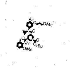 COCCCOc1cc(N(C(=O)[C@@H]2C[C@H](C(=O)Nc3c(C)cccc3OC)CN(C(=O)OC(C)(C)C)C2)C2CC2)ccc1C(C)=O